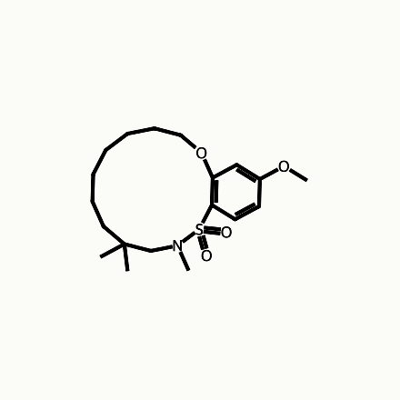 COc1ccc2c(c1)OCCCCCCCC(C)(C)CN(C)S2(=O)=O